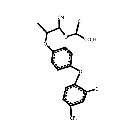 CC(Oc1ccc(Oc2ccc(C(F)(F)F)cc2Cl)cc1)C(C#N)OC(Cl)C(=O)O